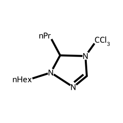 CCCCCCN1N=CN(C(Cl)(Cl)Cl)C1CCC